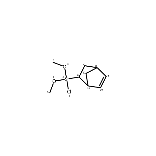 CO[Si](Cl)(OC)C1CC2C=CC1C2